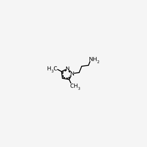 Cc1cc(C)n(CCCN)n1